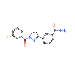 NC(=O)c1cccc(C2=NN(C(=O)c3cccc(F)c3)CC2)c1